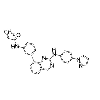 C=CC(=O)Nc1cccc(-c2cccc3cnc(Nc4ccc(-n5cccn5)cc4)nc23)c1